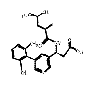 Cc1cccc(C)c1-c1cncc([C@H](CC(=O)O)NC(=O)C(I)CC(C)C)c1